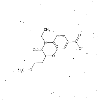 CCN1C(=O)C(CCOC)Oc2cc([N+](=O)[O-])ccc21